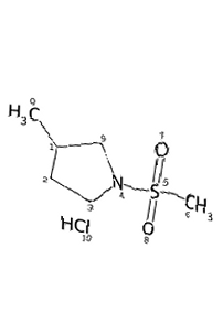 CC1CCN(S(C)(=O)=O)C1.Cl